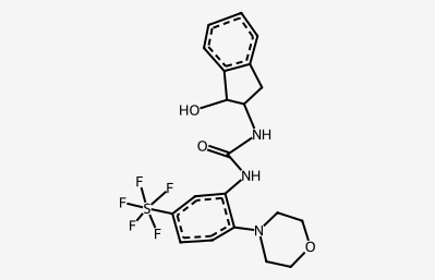 O=C(Nc1cc(S(F)(F)(F)(F)F)ccc1N1CCOCC1)NC1Cc2ccccc2C1O